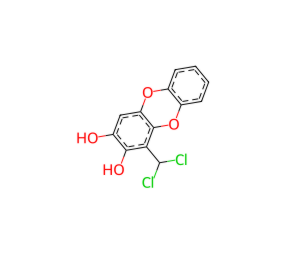 Oc1cc2c(c(C(Cl)Cl)c1O)Oc1ccccc1O2